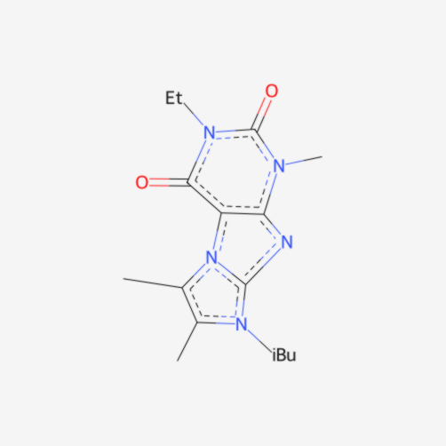 CCC(C)n1c(C)c(C)n2c3c(=O)n(CC)c(=O)n(C)c3nc12